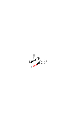 O=C([O-])[O-].[Li+].[Li+].[Li][C](F)(F)F